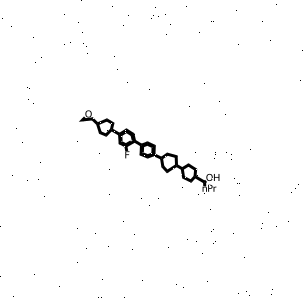 CCCC(O)C1CCC(C2CCC(c3ccc(-c4ccc(C5CCC(C6CO6)CC5)cc4F)cc3)CC2)CC1